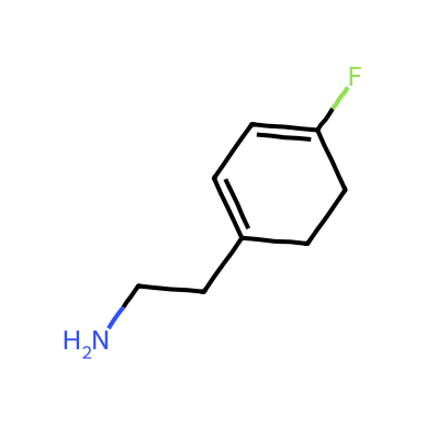 NCCC1=CC=C(F)CC1